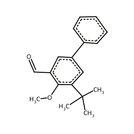 COc1c(C=O)cc(-c2ccccc2)cc1C(C)(C)C